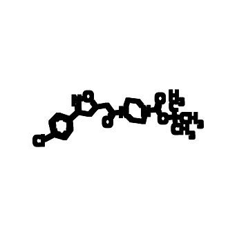 CC(C)(C)OC(=O)N1CCN(C(=O)CC2CC(c3ccc(Cl)cc3)=NO2)CC1